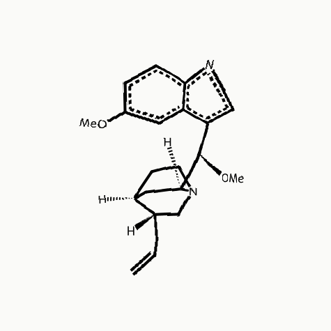 C=C[C@H]1CN2CC[C@H]1C[C@H]2[C@H](OC)c1ccnc2ccc(OC)cc12